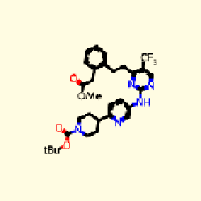 COC(=O)Cc1ccccc1CCc1nc(Nc2ccc(C3CCN(C(=O)OC(C)(C)C)CC3)nc2)ncc1C(F)(F)F